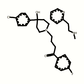 CNCCc1ccccn1.O=C(CCCN1CCC(O)(c2ccc(Cl)cc2)CC1)c1ccc(F)cc1